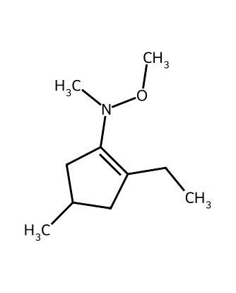 CCC1=C(N(C)OC)CC(C)C1